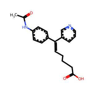 CC(=O)Nc1ccc(C(=CCCCC(=O)O)c2cccnc2)cc1